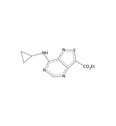 CCOC(=O)c1snc2c(NC3CC3)ncnc12